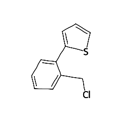 ClCc1ccccc1-c1cccs1